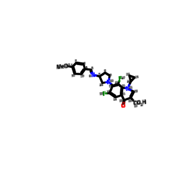 COc1ccc(/C=N/C2CCN(c3c(F)cc4c(=O)c(C(=O)O)cn(C5CC5)c4c3F)C2)cc1